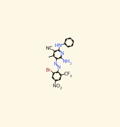 Cc1c(C#N)c(Nc2ccccc2)nc(N)c1/N=N/c1c(Br)cc([N+](=O)[O-])cc1C(F)(F)F